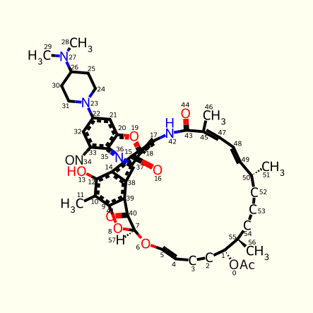 CC(=O)O[C@@H]1CC/C=C/O[C@H]2Oc3c(C)c(O)c4c(=O)c(c5oc6cc(N7CCC(N(C)C)CC7)cc(N=O)c6nc-5c4c3C2=O)NC(=O)/C(C)=C\C=C\[C@H](C)CCC[C@H]1C